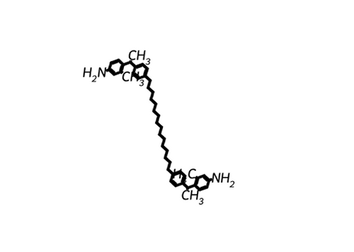 Cc1cc(N)ccc1C(C)c1ccc(CCCCCCCCCCCCCCCCc2ccc(C(C)c3ccc(N)cc3C)cc2)cc1